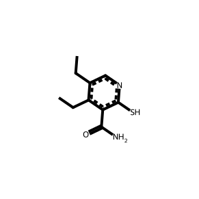 CCc1cnc(S)c(C(N)=O)c1CC